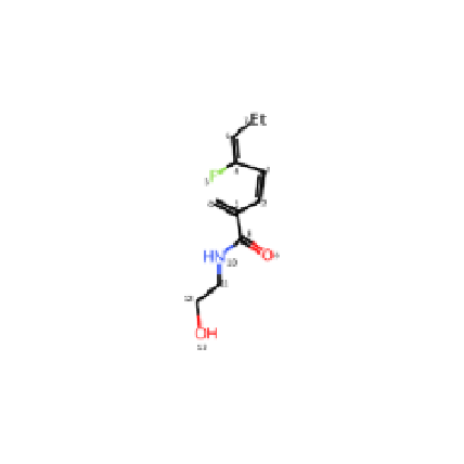 C=C(/C=C\C(F)=C/CC)C(=O)NCCO